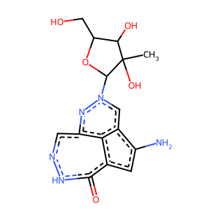 CC1(O)C(O)C(CO)OC1n1cc2c(N)cc3c(=O)[nH]ncc(n1)c23